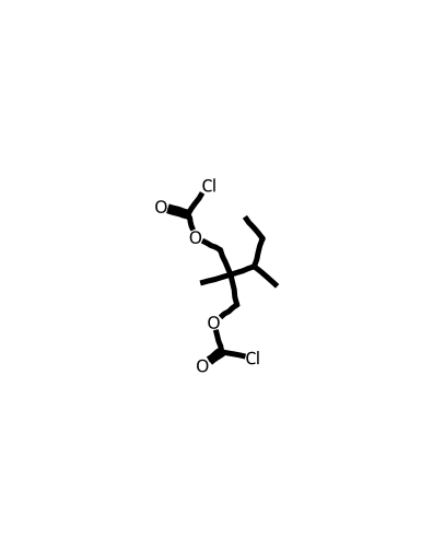 CCC(C)C(C)(COC(=O)Cl)COC(=O)Cl